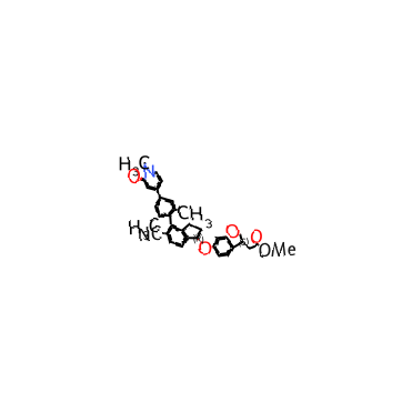 COC(=O)C[C@@H]1COc2cc(O[C@@H]3CCc4c3ccc(C#N)c4-c3c(C)cc(-c4ccn(C)c(=O)c4)cc3C)ccc21